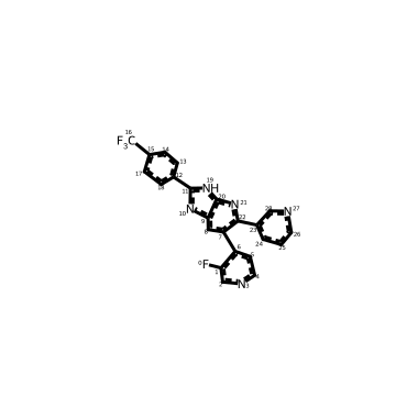 Fc1cnccc1-c1cc2nc(-c3ccc(C(F)(F)F)cc3)[nH]c2nc1-c1cccnc1